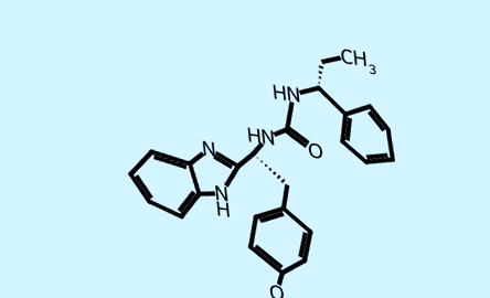 CC[C@@H](NC(=O)N[C@H](Cc1ccc(OC)cc1)c1nc2ccccc2[nH]1)c1ccccc1